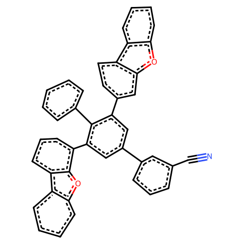 N#Cc1cccc(-c2cc(-c3ccc4c(c3)oc3ccccc34)c(-c3ccccc3)c(-c3cccc4c3oc3ccccc34)c2)c1